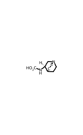 O=C(O)N[C@H]1CN2CCC1CC2